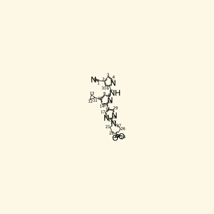 N#Cc1ccnc(Nc2cc(C3CC3)cc(-c3cnc(N4CCS(=O)(=O)CC4)nc3)n2)c1